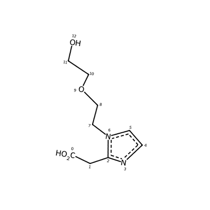 O=C(O)Cc1nccn1CCOCCO